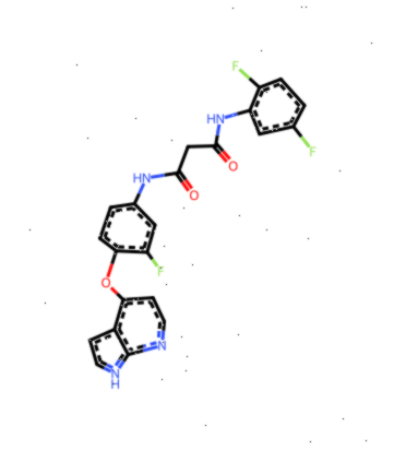 O=C(CC(=O)Nc1cc(F)ccc1F)Nc1ccc(Oc2ccnc3[nH]ccc23)c(F)c1